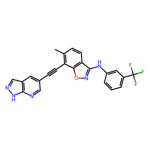 Cc1ccc2c(Nc3cccc(C(F)(F)F)c3)noc2c1C#Cc1cnc2[nH]ncc2c1